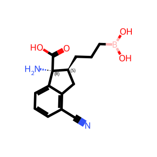 N#Cc1cccc2c1C[C@H](CCCB(O)O)[C@]2(N)C(=O)O